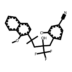 COc1c(C(C)(C)CC(O)(Cc2ccc(C#N)cc2Cl)C(F)(F)F)ccc2ccccc12